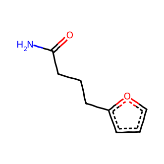 NC(=O)CCCc1ccco1